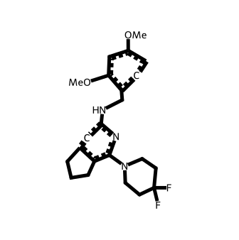 COc1ccc(CNc2cc3c(c(N4CCC(F)(F)CC4)n2)CCC3)c(OC)c1